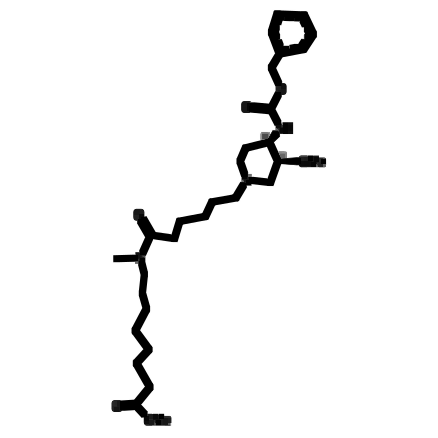 COC(=O)CCCCCCCN(C)C(=O)CCCCCN1CC[C@@H](NC(=O)OCc2ccccc2)[C@@H](OC)C1